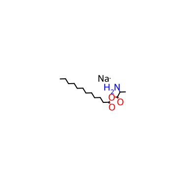 CCCCCCCCCCCC(=O)OC(=O)C(C)N.[Na]